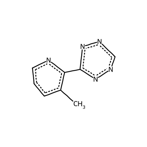 Cc1cccnc1-c1nncnn1